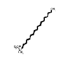 CCCCCCCCCCCCCCCCC[CH2][SnH]([CH3])[CH3]